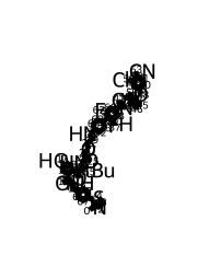 Cc1ncsc1-c1ccc(CNC(=O)[C@@H]2C[C@@H](O)CN2C(=O)[C@@H](NC(=O)COCCNC2CCC(c3c(F)cc(C(=O)N[C@H]4C(C)(C)[C@H](Oc5ccc(C#N)c(Cl)c5)C4(C)C)cc3F)CC2)C(C)(C)C)cc1